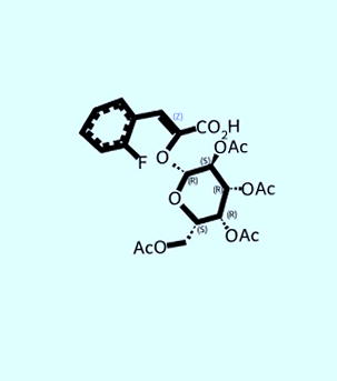 CC(=O)OC[C@@H]1O[C@H](O/C(=C\c2ccccc2F)C(=O)O)[C@@H](OC(C)=O)[C@H](OC(C)=O)[C@@H]1OC(C)=O